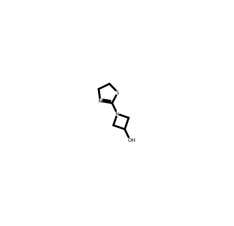 OC1CN(C2=NCCS2)C1